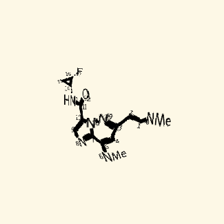 CNCCc1cc(NC)c2ncc(C(=O)N[C@@H]3C[C@@H]3F)n2n1